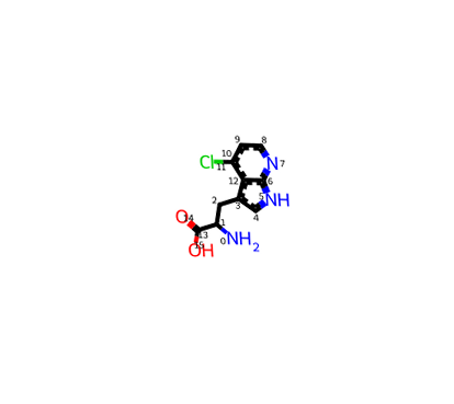 NC(Cc1c[nH]c2nccc(Cl)c12)C(=O)O